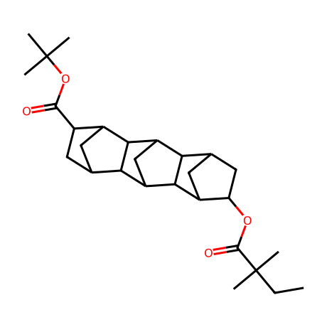 CCC(C)(C)C(=O)OC1CC2CC1C1C3CC(C21)C1C2CC(CC2C(=O)OC(C)(C)C)C31